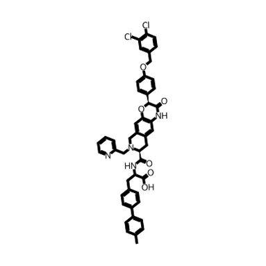 Cc1ccc(-c2ccc(CC(NC(=O)[C@@H]3Cc4cc5c(cc4CN3Cc3ccccn3)O[C@@H](c3ccc(OCc4ccc(Cl)c(Cl)c4)cc3)C(=O)N5)C(=O)O)cc2)cc1